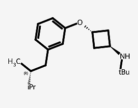 CC(C)[C@H](C)Cc1cccc(O[C@H]2C[C@H](NC(C)(C)C)C2)c1